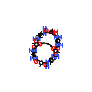 Cc1cc2cc(c1)C(=O)Nc1cc(c(C)cc1C)NC(=O)c1cc(C)cc3c1OC#CC#CC#COc1c(cc(C)cc1C(=O)Nc1cc(c(C)cc1C)NC(=O)c1cc(C)cc(c1O)C(=O)Nc1cc(c(C)cc1C)NC3=O)C(=O)Nc1cc(c(C)cc1C)NC2=O